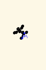 Cc1c(/C=C(\N)c2ccccn2)c2cc(-c3ccc4c(-c5ccc6ccccc6c5)c5c(c(-c6ccc7ccccc7c6)c4c3)C=CCC5)ccc2n1-c1ccccc1